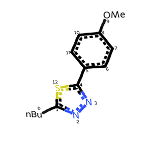 CCCCc1nnc(-c2ccc(OC)cc2)s1